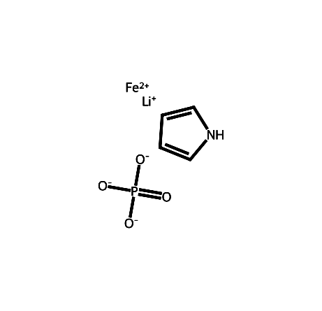 O=P([O-])([O-])[O-].[Fe+2].[Li+].c1cc[nH]c1